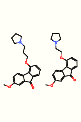 COc1ccc2c(c1)C(=O)c1cccc(OCCCN3CCCC3)c1-2.COc1ccc2c(c1)C(=O)c1cccc(OCCN3CCCC3)c1-2